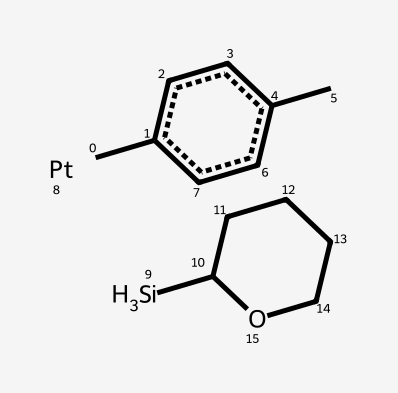 Cc1ccc(C)cc1.[Pt].[SiH3]C1CCCCO1